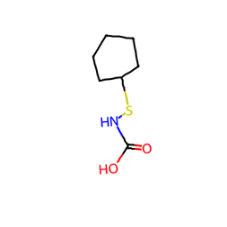 O=C(O)NSC1CCCCC1